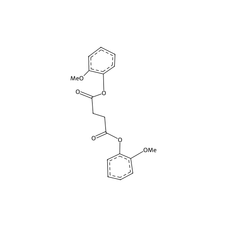 COc1ccccc1OC(=O)CCC(=O)Oc1ccccc1OC